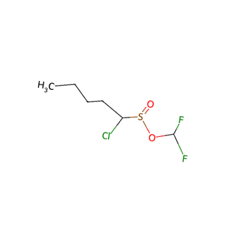 CCCCC(Cl)S(=O)OC(F)F